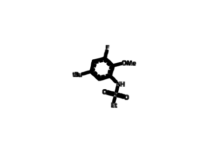 CCS(=O)(=O)Nc1cc(C(C)(C)C)cc(F)c1OC